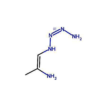 CC(N)=CN/N=N\N